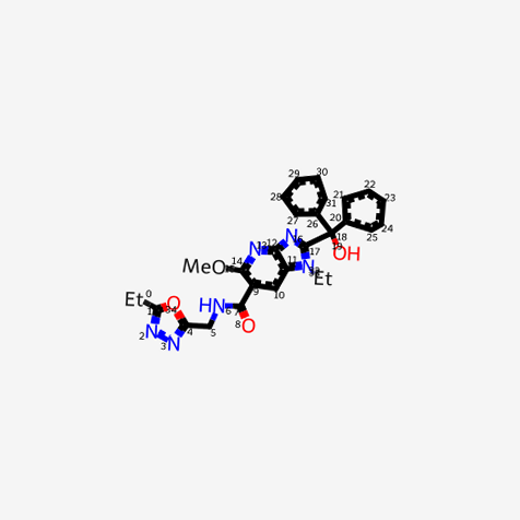 CCc1nnc(CNC(=O)c2cc3c(nc2OC)nc(C(O)(c2ccccc2)c2ccccc2)n3CC)o1